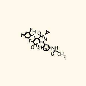 CCC(=O)Nc1cccc(-c2nn(C3CC3)c(=O)c3c(Nc4ccc(I)cc4F)c(F)c(=O)n(C)c23)c1